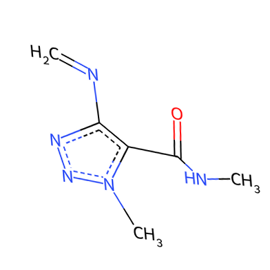 C=Nc1nnn(C)c1C(=O)NC